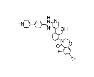 CN1CC=C(c2ccc(-c3nc4c(-c5cccc(N6CCOc7cc(C8CC8)cc(F)c7C6=O)c5CO)ccnc4[nH]3)cc2)CC1